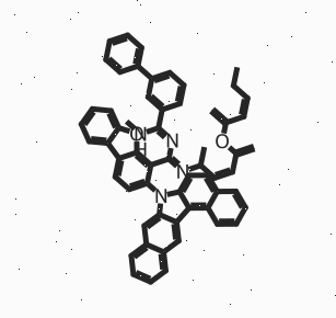 C=C(/C=C\CC)OC(=C)/C=C\C(C)/N=C(\N=C(/NC)c1cccc(-c2ccccc2)c1)c1c(-n2c3cc4ccccc4cc3c3c4ccccc4ccc32)ccc2c1oc1ccccc12